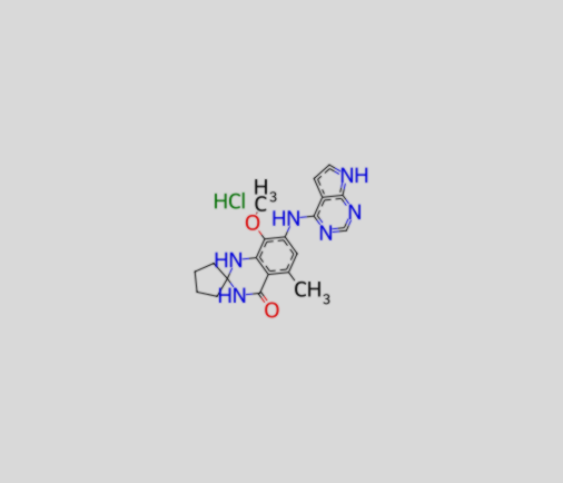 COc1c(Nc2ncnc3[nH]ccc23)cc(C)c2c1NC1(CCCC1)NC2=O.Cl